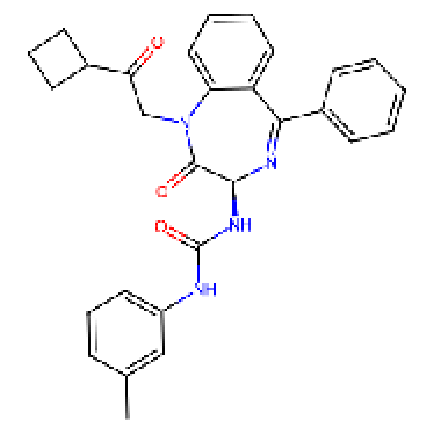 Cc1cccc(NC(=O)N[C@@H]2N=C(c3ccccc3)c3ccccc3N(CC(=O)C3CCC3)C2=O)c1